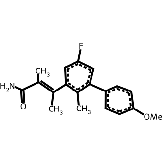 COc1ccc(-c2cc(F)cc(/C(C)=C(\C)C(N)=O)c2C)cc1